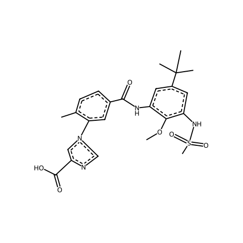 COc1c(NC(=O)c2ccc(C)c(-n3cnc(C(=O)O)c3)c2)cc(C(C)(C)C)cc1NS(C)(=O)=O